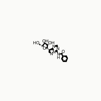 O=C(Nc1ncnc2c([C@@H]3O[C@H](CO)C(O)[C@@H]3O)cnn12)c1ccccc1